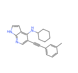 Cc1cccc(C#Cc2cnc3[nH]ccc3c2NC2CCCCC2)c1